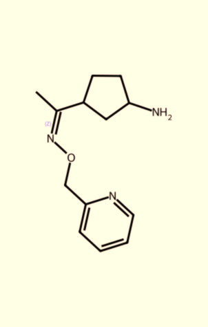 C/C(=N/OCc1ccccn1)C1CCC(N)C1